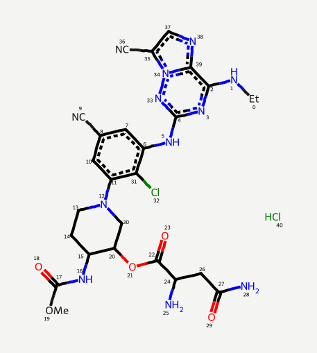 CCNc1nc(Nc2cc(C#N)cc(N3CCC(NC(=O)OC)C(OC(=O)C(N)CC(N)=O)C3)c2Cl)nn2c(C#N)cnc12.Cl